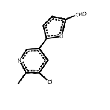 Cc1ncc(-c2ccc(C=O)o2)cc1Cl